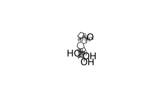 CO[C@@H]1CC2C3C[C@H](O)[C@](O)([C@H](C)CO)[C@@]3(C)CCC2[C@@]2(C)CCC3C[C@]312